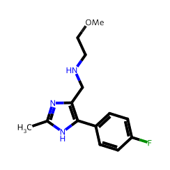 COCCNCc1nc(C)[nH]c1-c1ccc(F)cc1